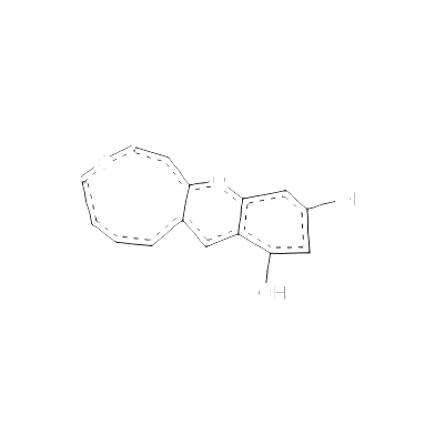 Oc1cc(O)c2cc3cccccccc-3oc2c1